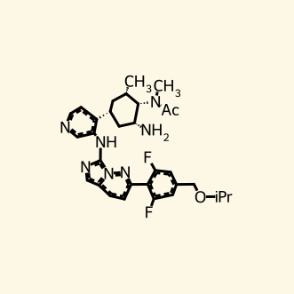 CC(=O)N(C)[C@@H]1[C@H](N)C[C@H](c2ccncc2Nc2ncc3ccc(-c4c(F)cc(COC(C)C)cc4F)nn23)C[C@@H]1C